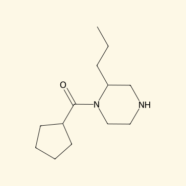 CCCC1CNCCN1C(=O)C1CCCC1